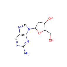 Nc1ncc2ncn(C3CC(O)C(CO)O3)c2n1